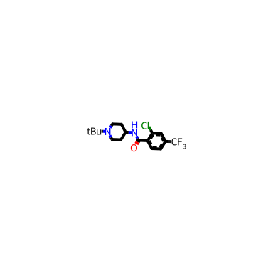 CC(C)(C)N1CCC(NC(=O)c2ccc(C(F)(F)F)cc2Cl)CC1